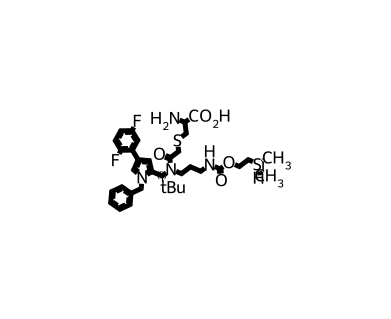 C[SiH](C)CCOC(=O)NCCCN(C(=O)CSCC(N)C(=O)O)[C@@H](c1cc(-c2cc(F)ccc2F)cn1Cc1ccccc1)C(C)(C)C